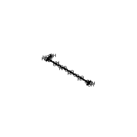 CCC1OC(OCCCCCCNC(=O)CCOCCOCCOCCCNC(=O)CCOCCCOCCC(=O)NCCOCCOCCOCCC(=O)NCCCCCCOC2OC(COS(=O)(=O)O)C(O)C(O)C2NC(C)=O)C(NC(C)=O)C(O)C1O